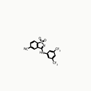 N#Cc1ccc2c(c1)C(Nc1cc(C(F)(F)F)cc(C(F)(F)F)c1)=NS2(=O)=O